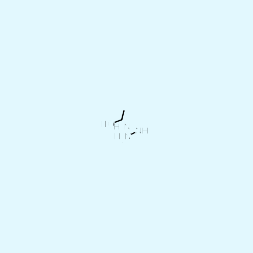 CCO.N.NN